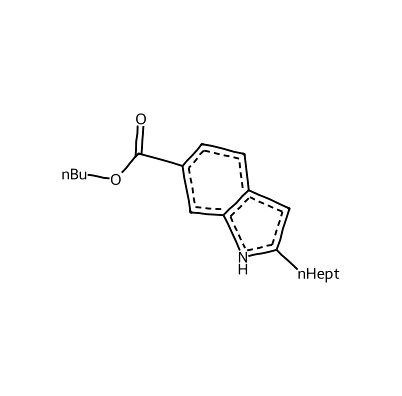 CCCCCCCc1cc2ccc(C(=O)OCCCC)cc2[nH]1